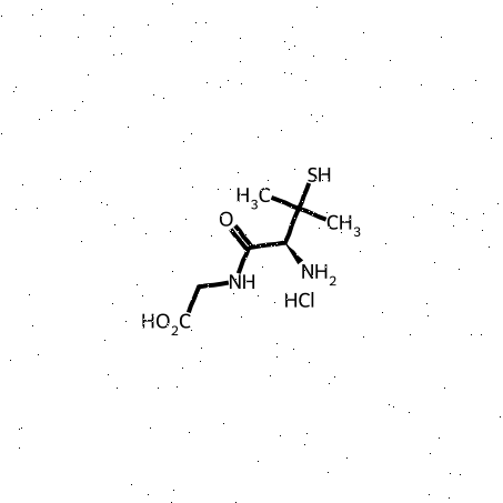 CC(C)(S)[C@@H](N)C(=O)NCC(=O)O.Cl